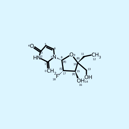 C=C1NC(=O)C=CN1[C@@H]1O[C@](CC)(CO)[C@@H](O)[C@@H]1F